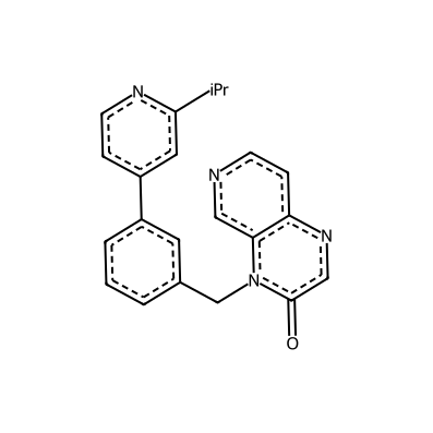 CC(C)c1cc(-c2cccc(Cn3c(=O)cnc4ccncc43)c2)ccn1